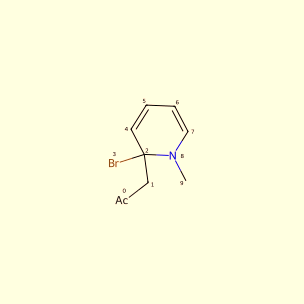 CC(=O)CC1(Br)C=CC=CN1C